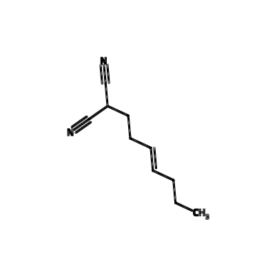 CCCC=CCCC(C#N)C#N